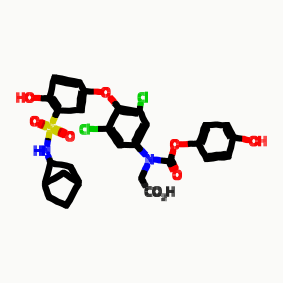 O=C(O)CN(C(=O)Oc1ccc(O)cc1)c1cc(Cl)c(Oc2ccc(O)c(S(=O)(=O)NC3CC4CCC3C4)c2)c(Cl)c1